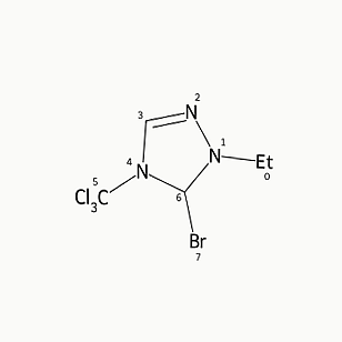 CCN1N=CN(C(Cl)(Cl)Cl)C1Br